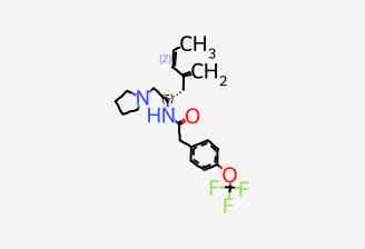 C=C(/C=C\C)C[C@@H](CN1CCCC1)NC(=O)Cc1ccc(OC(F)(F)F)cc1